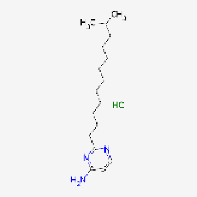 CC(C)CCCCCCCCCCc1nccc(N)n1.Cl